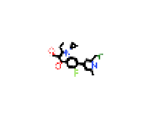 CCc1c([C]=O)c(=O)c2cc(F)c(-c3cc(C)nc(CCl)c3)cc2n1C1CC1